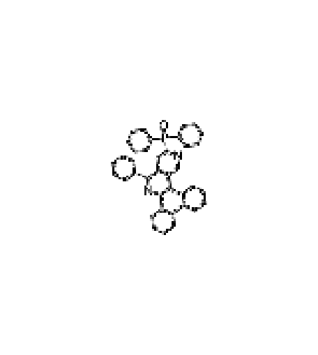 O=P(c1ccccc1)(c1ccccc1)c1cc2c(-c3ccccc3)nc3c4ccccc4c4ccccc4c3c2cn1